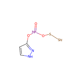 O=[PH](OSS)Oc1cc[nH]n1